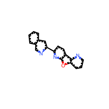 c1ccc2cc(-c3ccc4c(n3)oc3cccnc34)ncc2c1